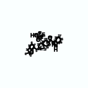 CC1(C)Cc2cccc(CN3CCC4(CC3)CCN(C(=O)c3n[nH]c5ccccc35)CC4)c2O1.O=C(O)C(F)(F)F